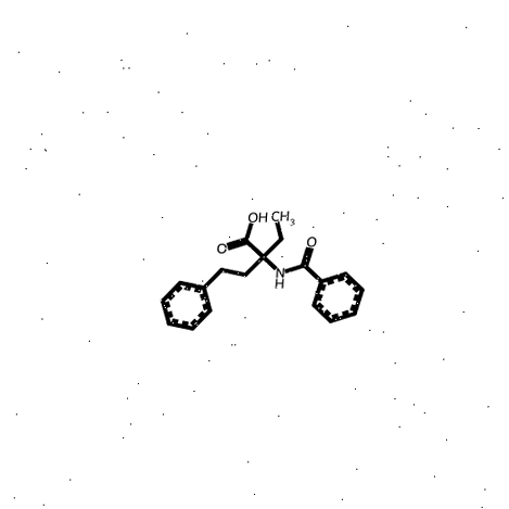 CCC(CCc1ccccc1)(NC(=O)c1ccccc1)C(=O)O